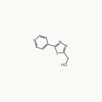 OCc1nnc(-c2ccncc2)s1